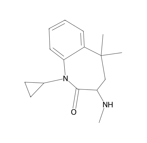 CNC1CC(C)(C)c2ccccc2N(C2CC2)C1=O